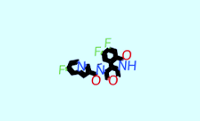 CN(C(=O)c1cc2cc(F)ccn2c1)C1COCc2[nH]c(=O)c3cc(F)c(F)cc3c21